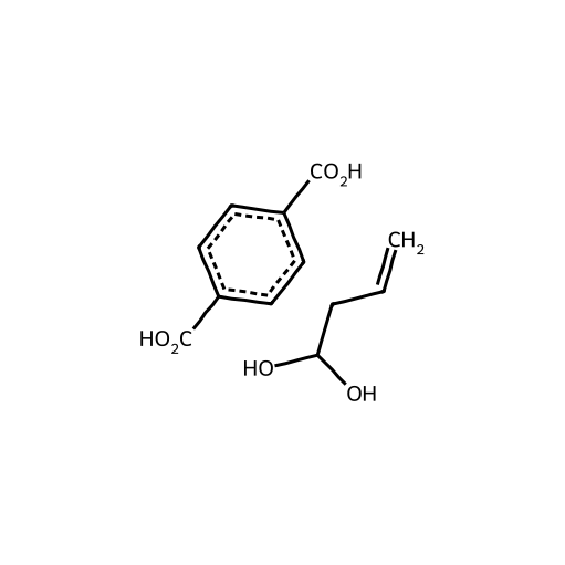 C=CCC(O)O.O=C(O)c1ccc(C(=O)O)cc1